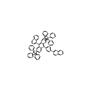 c1ccc([Si](c2ccccc2)(c2ccccc2)c2ccc3c(-c4cccc5ccccc45)c4cc([Si](c5ccccc5)(c5ccccc5)c5ccccc5)ccc4c(-c4ccc(-c5ccc6ccccc6c5)cc4)c3c2)cc1